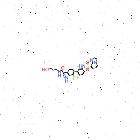 O=C(NCCCO)c1n[nH]c2c(F)c(-c3c(F)ccc(NS(=O)(=O)c4cccn5ccnc45)c3F)ccc12